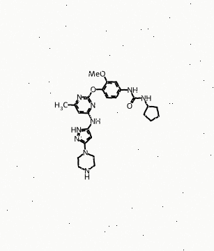 COc1cc(NC(=O)NC2CCCC2)ccc1Oc1nc(C)cc(Nc2cc(N3CCNCC3)n[nH]2)n1